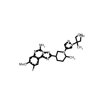 COc1cc2nc(N)n3nc(C4CCC(C)N(c5cnn(C(C)(CO)CO)c5)C4)nc3c2cc1F